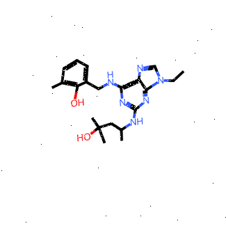 CCn1cnc2c(NCc3cccc(C)c3O)nc(NC(C)CC(C)(C)O)nc21